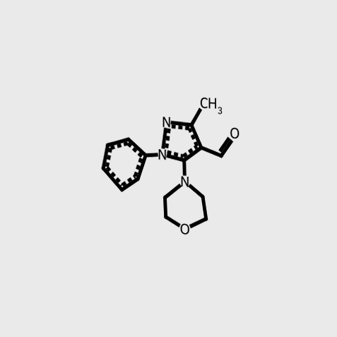 Cc1nn(-c2ccccc2)c(N2CCOCC2)c1C=O